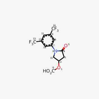 O=C(O)OC1CC(=O)N(c2cc(C(F)(F)F)cc(C(F)(F)F)c2)C1